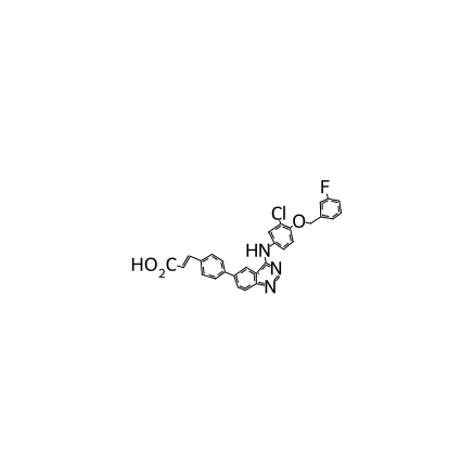 O=C(O)/C=C/c1ccc(-c2ccc3ncnc(Nc4ccc(OCc5cccc(F)c5)c(Cl)c4)c3c2)cc1